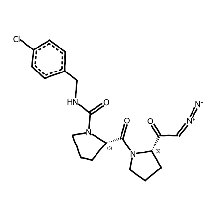 [N-]=[N+]=CC(=O)[C@@H]1CCCN1C(=O)[C@@H]1CCCN1C(=O)NCc1ccc(Cl)cc1